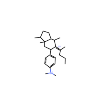 CCC/C(C)=C1\C(c2ccc(N(C)C)cc2)CC2(C)C(C)CCC2C1C